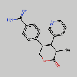 CCCCC1C(=O)OCC(c2ccc(C(=N)N)cc2)C1c1cccnc1